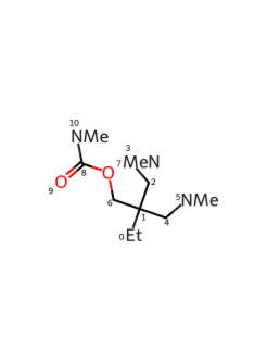 CCC(CNC)(CNC)COC(=O)NC